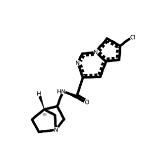 O=C(NC1CN2CC[C@H]1C2)c1cc2cc(Cl)cn2cn1